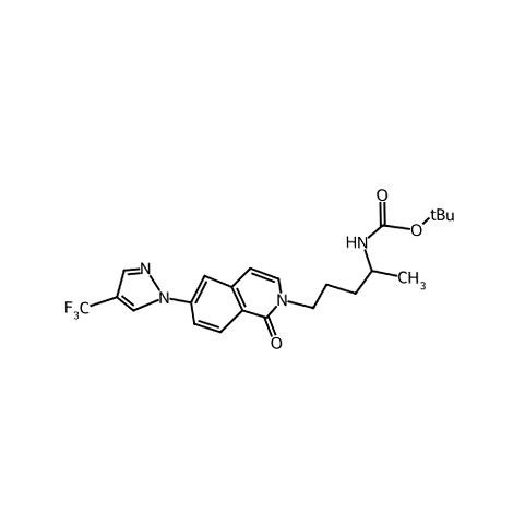 CC(CCCn1ccc2cc(-n3cc(C(F)(F)F)cn3)ccc2c1=O)NC(=O)OC(C)(C)C